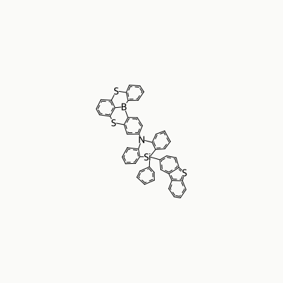 c1ccc([Si]2(c3ccc4sc5ccccc5c4c3)c3ccccc3N(c3ccc4c(c3)Sc3cccc5c3B4c3ccccc3S5)c3ccccc32)cc1